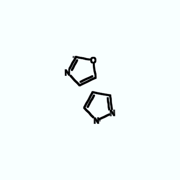 C1=C[N]N=C1.[c]1ncco1